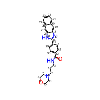 O=C(NCCCN1CCOCC1)c1ccc(-c2nc3cc4ccccc4cc3[nH]2)cc1